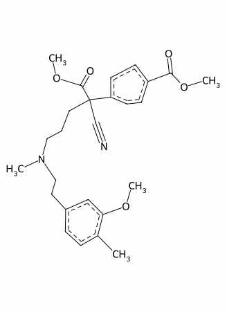 COC(=O)c1ccc(C(C#N)(CCCN(C)CCc2ccc(C)c(OC)c2)C(=O)OC)cc1